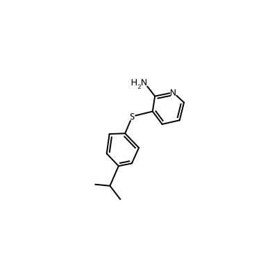 CC(C)c1ccc(Sc2cccnc2N)cc1